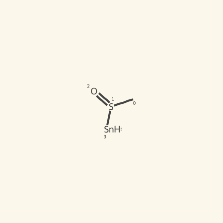 C[S](=O)[SnH]